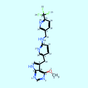 COc1ncnc2[nH]cc(Cc3ccc(NCc4ccc(C(F)(F)F)nc4)nc3)c12